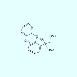 COCC(C)(OC)c1ccccc1Oc1ncccc1N